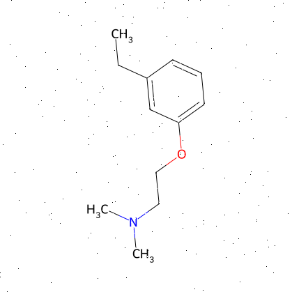 CCc1cccc(OCCN(C)C)c1